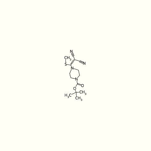 CSC(=C(C#N)C#N)N1CCN(C(=O)OC(C)(C)C)CC1